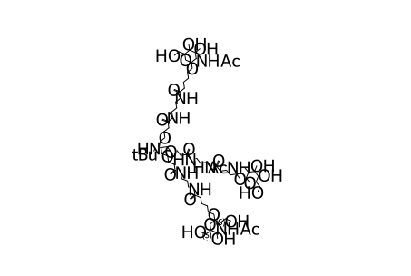 CC(=O)NC1C(OCCCCC(=O)NCCCNC(=O)CCOCC(COCCC(=O)NCCCNC(=O)CCCCOC2OC(CO)C(O)C(O)C2NC(C)=O)(COCCC(=O)NCCCNC(=O)CCCCOC(OC(CO)[C@H](C)O)[C@H](CO)NC(C)=O)NC(C)(C)C)OC(CO)C(O)C1O